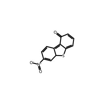 O=C1C=CC=C2SC3C=C([N+](=O)[O-])C=CC3=C12